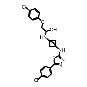 OC(COc1ccc(Cl)cc1)NC12CC(Nc3nnc(-c4ccc(Cl)cc4)s3)(C1)C2